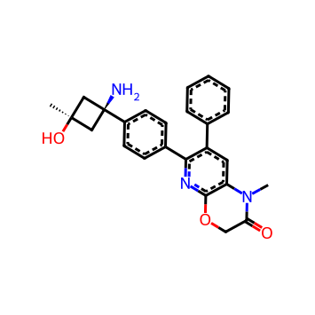 CN1C(=O)COc2nc(-c3ccc([C@]4(N)C[C@@](C)(O)C4)cc3)c(-c3ccccc3)cc21